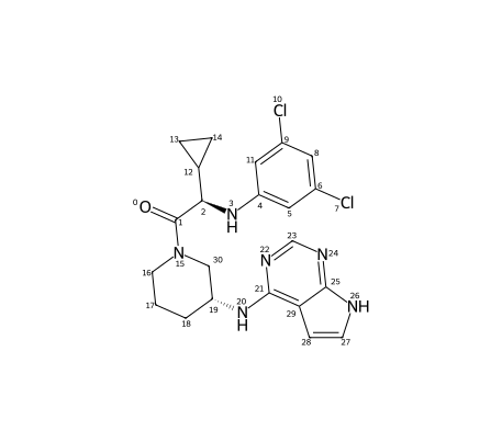 O=C([C@H](Nc1cc(Cl)cc(Cl)c1)C1CC1)N1CCC[C@@H](Nc2ncnc3[nH]ccc23)C1